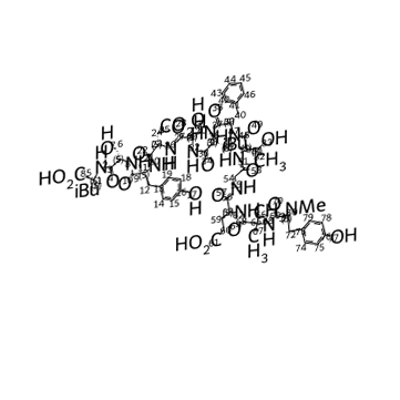 CC[C@H](C)[C@H](NC(=O)[C@H](CO)NC(=O)[C@H](Cc1ccc(O)cc1)NC(=O)[C@H](CC(=O)O)NC(=O)[C@H](CO)NC(=O)[C@@H](NC(=O)[C@H](Cc1ccccc1)NC(=O)[C@@H](NC(=O)CNC(=O)[C@H](CCC(=O)O)NC(=O)C(C)(C)NC(=O)[C@H](Cc1ccc(O)cc1)NC)[C@@H](C)O)[C@@H](C)CC)C(=O)O